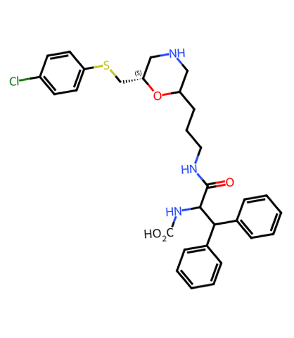 O=C(O)NC(C(=O)NCCCC1CNC[C@@H](CSc2ccc(Cl)cc2)O1)C(c1ccccc1)c1ccccc1